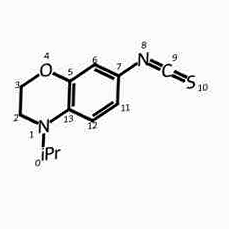 CC(C)N1CCOc2cc(N=C=S)ccc21